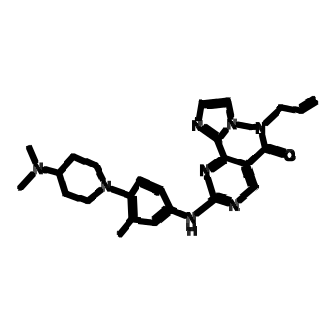 C=CCn1c(=O)c2cnc(Nc3ccc(N4CCC(N(C)C)CC4)c(C)c3)nc2c2nccn21